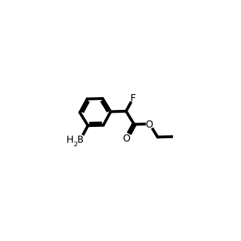 Bc1cccc(C(F)C(=O)OCC)c1